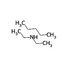 CCCCC.CCNCC